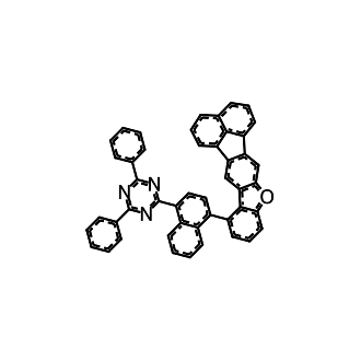 c1ccc(-c2nc(-c3ccccc3)nc(-c3ccc(-c4cccc5oc6cc7c(cc6c45)-c4cccc5cccc-7c45)c4ccccc34)n2)cc1